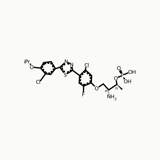 CC(C)Oc1ccc(-c2nnc(-c3cc(F)c(OC[C@@H](N)[C@H](C)OP(=O)(O)O)cc3Cl)s2)cc1Cl